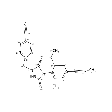 CC#Cc1cc(C)c(C2C(=O)NN(Cc3ccc(C#N)cn3)C2=O)c(CC)c1